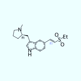 CCS(=O)(=O)/C=C/c1ccc2[nH]cc(C[C@H]3CCCN3C)c2c1